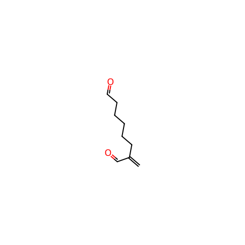 C=C(C=O)CCCCCC=O